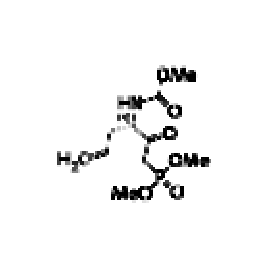 C=CC[C@H](NC(=O)OC)C(=O)CP(=O)(OC)OC